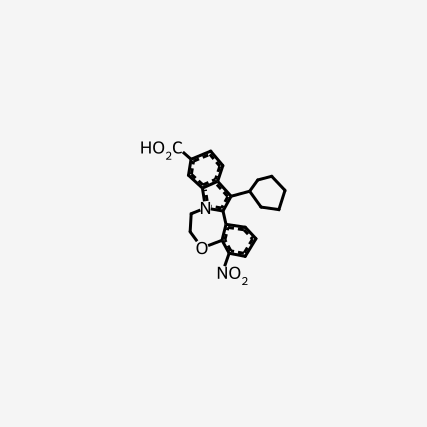 O=C(O)c1ccc2c(C3CCCCC3)c3n(c2c1)CCOc1c-3cccc1[N+](=O)[O-]